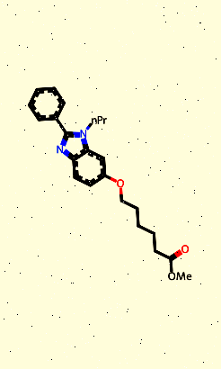 CCCn1c(-c2ccccc2)nc2ccc(OCCCCCC(=O)OC)cc21